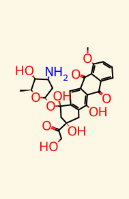 COc1cccc2c1C(=O)c1cc3c(c(O)c1C2=O)C[C@@](O)(C(=O)CO)C[C@]3(O)O[C@H]1C[C@H](N)[C@H](O)[C@H](C)O1